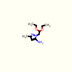 CCOC(Cn1nc(C)cc1N)OCC